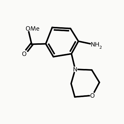 COC(=O)c1ccc(N)c(N2CCOCC2)c1